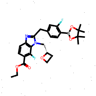 CCOC(=O)c1ccc2nc(Cc3ccc(B4OC(C)(C)C(C)(C)O4)c(F)c3)n(C[C@@H]3CCO3)c2c1F